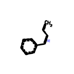 C=C/C=C\c1ccccc1